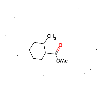 COC(=O)C1CCCCC1C